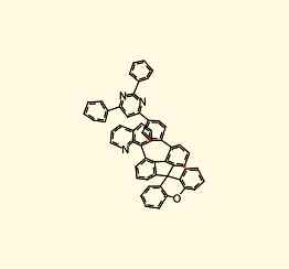 c1ccc(-c2cc(-c3ccc(-c4cccc5c4-c4c(-c6cccc7cccnc67)cccc4C54c5ccccc5Oc5ccccc54)cc3)nc(-c3ccccc3)n2)cc1